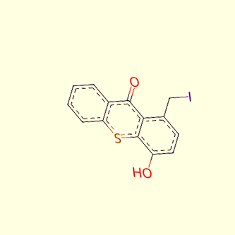 O=c1c2ccccc2sc2c(O)ccc(CI)c12